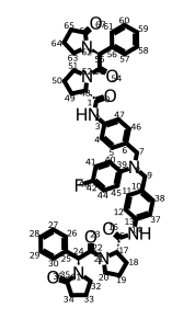 O=C(Nc1ccc(CN(Cc2ccc(NC(=O)[C@@H]3CCCN3C(=O)[C@@H](c3ccccc3)N3CCCC3=O)cc2)c2ccc(F)cc2)cc1)[C@@H]1CCCN1C(=O)[C@H](c1ccccc1)N1CCCC1=O